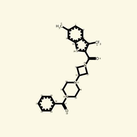 Cc1ccc2c(C(F)(F)F)c(C(=O)N3CC(N4CCN(C(=O)c5ccccc5)CC4)C3)sc2c1